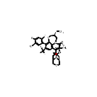 CO[C@@H]1CSc2c(-c3cc(Cl)c(F)cc3F)c(C(F)(F)F)cc3c(N4CC5COCC(C4)N5C(=O)OC(C)(C)C)nc(=O)n(c23)C1